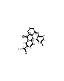 Cc1ccc(/C=C2/CCCc3c2nc2ccc(C(=O)O)cn2c3=O)cc1